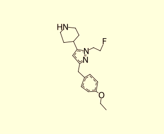 CCOc1ccc(Cc2cc(C3CCNCC3)n(CCF)n2)cc1